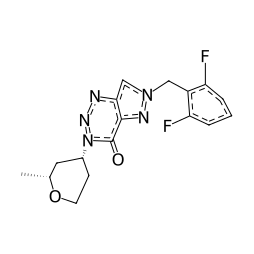 C[C@@H]1C[C@H](n2nnc3cn(Cc4c(F)cccc4F)nc3c2=O)CCO1